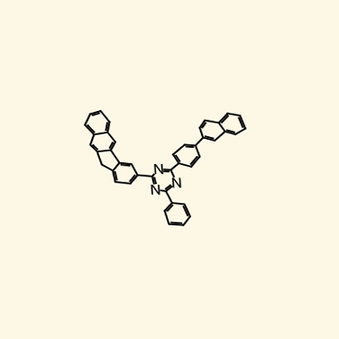 c1ccc(-c2nc(-c3ccc(-c4ccc5ccccc5c4)cc3)nc(-c3ccc4c(c3)-c3cc5ccccc5cc3C4)n2)cc1